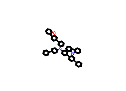 c1ccc(-c2ccc(N(c3ccc(-c4ccc(-c5ccccc5)cc4-n4c5ccccc5c5ccccc54)cc3)c3cccc(-c4ccc5c(c4)oc4ccccc45)c3)cc2)cc1